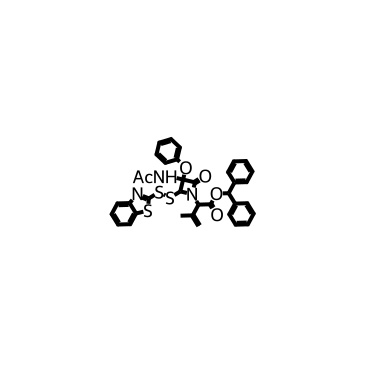 C=C(C)C(C(=O)OC(c1ccccc1)c1ccccc1)N1C(=O)C(NC(C)=O)(Oc2ccccc2)C1SSc1nc2ccccc2s1